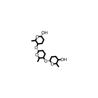 CC1O[C@H](OC2CC[C@@H](OC3CC[C@@H](O)OC3C)OC2C)CCC1O